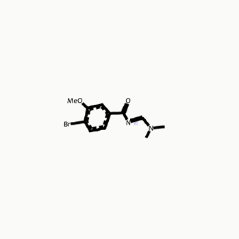 COc1cc(C(=O)/N=C/N(C)C)ccc1Br